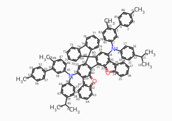 Cc1ccc(-c2cc(N(c3ccc(C(C)C)cc3)c3cc4c(c5oc6ccccc6c35)-c3c(cc(N(c5ccc(C(C)C)cc5)c5ccc(C)c(-c6ccc(C)cc6)c5)c5c3oc3ccccc35)C43c4ccccc4-c4ccccc43)ccc2C)cc1